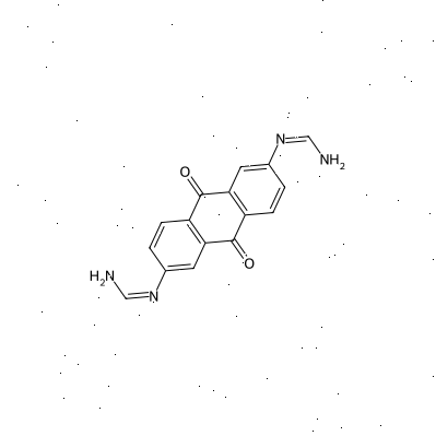 N/C=N\c1ccc2c(c1)C(=O)c1ccc(/N=C\N)cc1C2=O